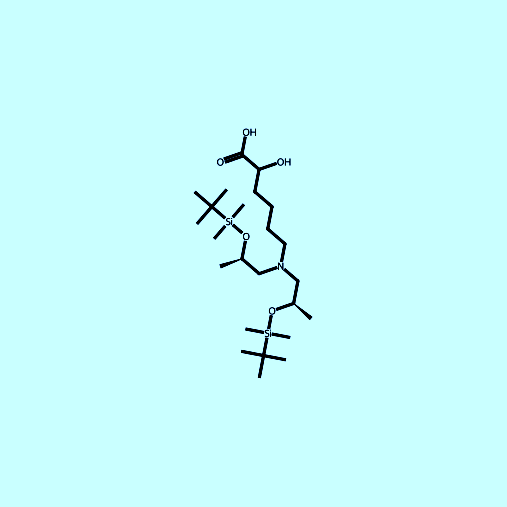 C[C@H](CN(CCCCC(O)C(=O)O)C[C@@H](C)O[Si](C)(C)C(C)(C)C)O[Si](C)(C)C(C)(C)C